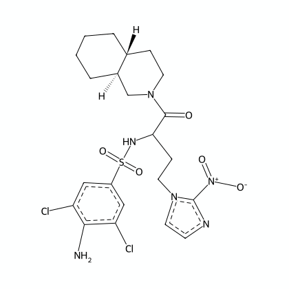 Nc1c(Cl)cc(S(=O)(=O)NC(CCn2ccnc2[N+](=O)[O-])C(=O)N2CC[C@H]3CCCC[C@@H]3C2)cc1Cl